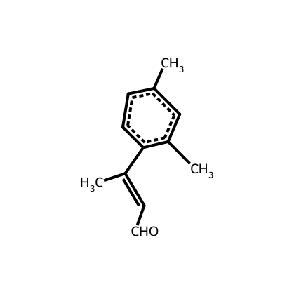 CC(=CC=O)c1ccc(C)cc1C